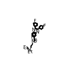 CCN(CC)CCCNC(=O)c1ccc2nc(-c3ccc(F)cc3)c(-c3ccc(F)cc3)nc2c1